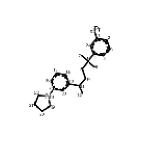 CC(C)c1cccc(C(C)(C)CCC(C)c2cccc(N3CCCC3)c2)c1